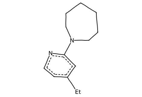 CCc1ccnc(N2CCCCCC2)c1